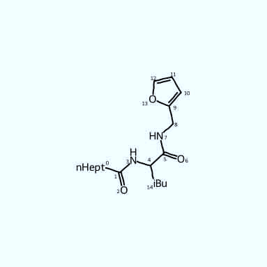 CCCCCCCC(=O)NC(C(=O)NCc1ccco1)C(C)CC